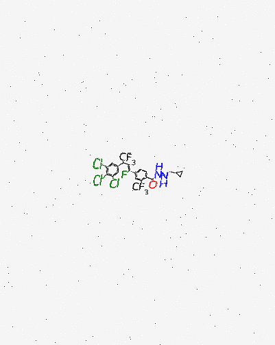 O=C(NNCC1CC1)c1ccc(/C(F)=C/C(c2cc(Cl)c(Cl)c(Cl)c2)C(F)(F)F)cc1C(F)(F)F